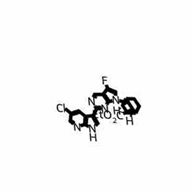 CCOC(=O)[C@H]1C2CCC(CC2)[C@@H]1n1cc(F)c2cnc(-c3c[nH]c4ncc(Cl)cc34)nc21